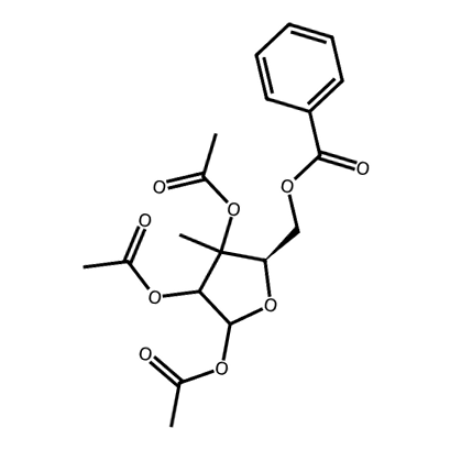 CC(=O)OC1O[C@H](COC(=O)c2ccccc2)C(C)(OC(C)=O)C1OC(C)=O